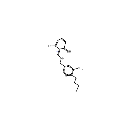 CCC1=NC=CC(=N)/C1=C\NCc1cnc(OCCF)c(C)c1